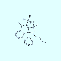 CCCCCC1(c2ccccc2)C(C(F)(F)F)=C(C(F)(F)F)C(C)c2ccccc21